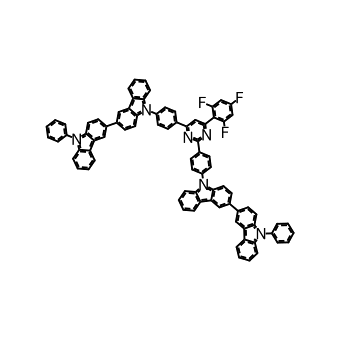 Fc1cc(F)c(-c2cc(-c3ccc(-n4c5ccccc5c5cc(-c6ccc7c(c6)c6ccccc6n7-c6ccccc6)ccc54)cc3)nc(-c3ccc(-n4c5ccccc5c5cc(-c6ccc7c(c6)c6ccccc6n7-c6ccccc6)ccc54)cc3)n2)c(F)c1